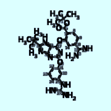 CC(C)(C)OC(=O)c1ccc(C(=N)N)cc1Oc1nc(Oc2cccc(NC(=N)N)c2)nc2nc(C(C)(C)C)[nH]c12